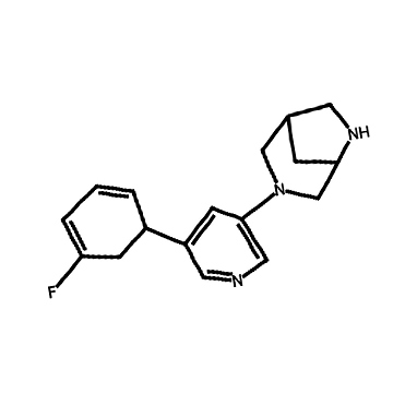 FC1=CC=CC(c2cncc(N3CC4CNC(C4)C3)c2)C1